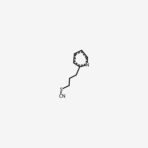 N#CSCCCc1ccccn1